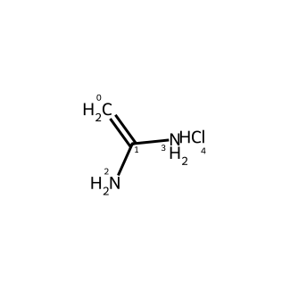 C=C(N)N.Cl